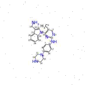 Cc1cnc(Nc2ccc(N3CCNCC3)cc2)nc1-n1cc(CN)c2ccccc21